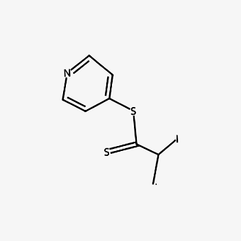 [CH2]C(I)C(=S)Sc1ccncc1